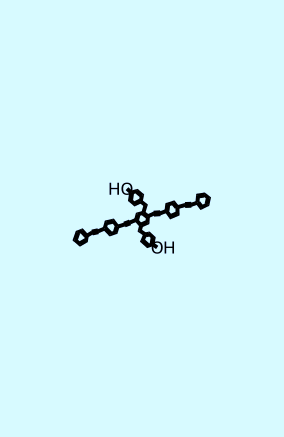 Oc1ccc(Cc2cc(C#Cc3ccc(C#Cc4ccccc4)cc3)c(Cc3ccc(O)cc3)cc2C#Cc2ccc(C#Cc3ccccc3)cc2)cc1